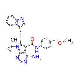 COCc1ccc(NC(=O)c2c(C#Cc3cnc4ccccn34)n(C3(C)CC3)c3ncnc(N)c23)cc1